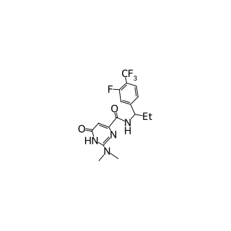 CCC(NC(=O)c1cc(=O)[nH]c(N(C)C)n1)c1ccc(C(F)(F)F)c(F)c1